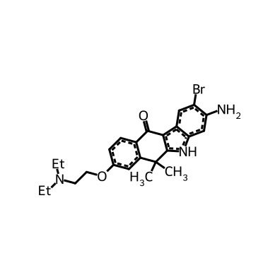 CCN(CC)CCOc1ccc2c(c1)C(C)(C)c1[nH]c3cc(N)c(Br)cc3c1C2=O